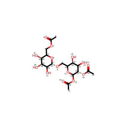 CC(=O)OCC1O[C@H](OCC2OC(OC(C)=O)[C@@H](OC(C)=O)C(O)[C@@H]2O)C(O)[C@@H](O)[C@H]1O